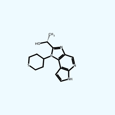 C[C@@H](O)c1nc2cnc3[nH]ccc3c2n1C1CCSCC1